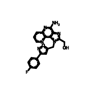 Nc1nc2cccnc2c2c1nc(CO)n2Cc1cc(-c2ccc(F)cc2)no1